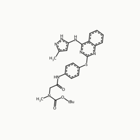 Cc1cc(Nc2nc(Sc3ccc(NC(=O)CN(C)C(=O)OC(C)(C)C)cc3)nc3ccccc23)[nH]n1